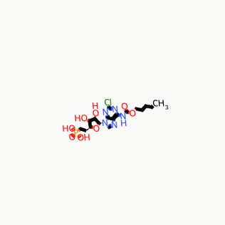 CCCCCOC(=O)Nc1nc(Cl)nc2c1ncn2[C@@H]1O[C@H](CCP(=O)(O)O)C(O)[C@@H]1O